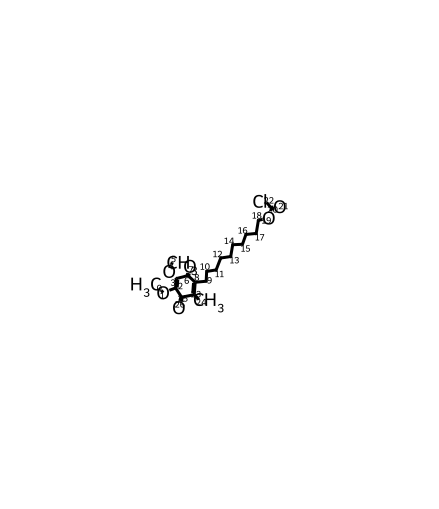 COC1=C(OC)C(=O)C(CCCCCCCCCCOC(=O)Cl)=C(C)C1=O